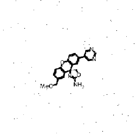 COCc1ccc2c(c1)[C@@]1(COC(N)=N1)c1cc(-c3cncnc3)ccc1O2